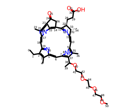 CCC1=C(C)c2cc3[nH]c(cc4nc(c5c6[nH]c(cc1n2)c(C)c6C(=O)C5)[C@@H](CCC(=O)O)[C@@H]4C)c(C)c3C(C)OCCOCCOCCOC